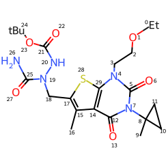 CCOCCn1c(=O)n(C2(C)CC2)c(=O)c2c(C)c(CN(NC(=O)OC(C)(C)C)C(N)=O)sc21